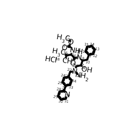 COC(=O)N[C@H](C(=O)NC(Cc1ccccc1)C(O)CN(N)Cc1ccc(-c2ccccn2)cc1)C(C)C.Cl